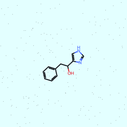 OC(Cc1ccccc1)c1c[nH]cn1